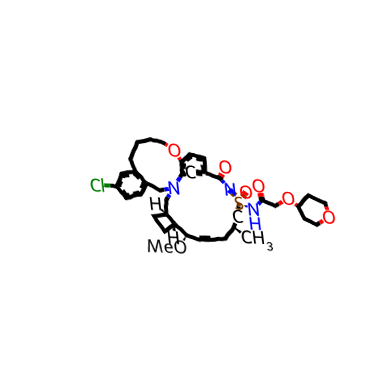 CO[C@H]1/C=C/C[C@H](C)C[S@@](=O)(NC(=O)COC2CCOCC2)=NC(=O)c2ccc3c(c2)N(Cc2ccc(Cl)cc2CCCCO3)C[C@@H]2CC[C@H]21